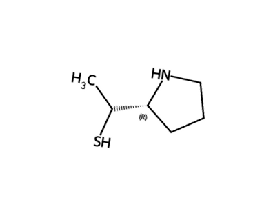 CC(S)[C@H]1CCCN1